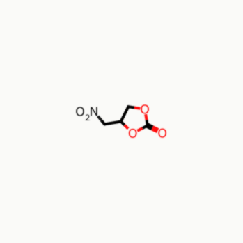 O=C1OCC(C[N+](=O)[O-])O1